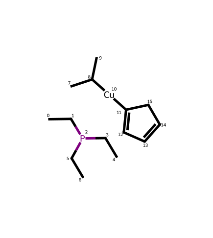 CCP(CC)CC.C[CH](C)[Cu][C]1=CC=CC1